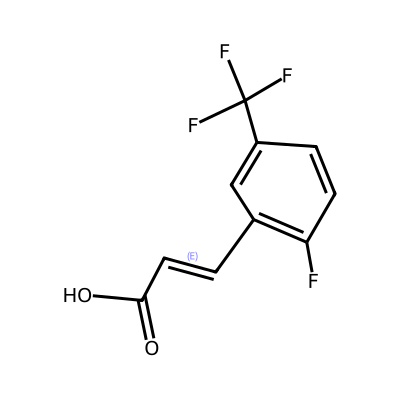 O=C(O)/C=C/c1cc(C(F)(F)F)ccc1F